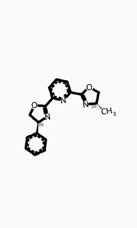 C[C@H]1COC(c2cccc(C3=N[C@@H](c4ccccc4)CO3)n2)=N1